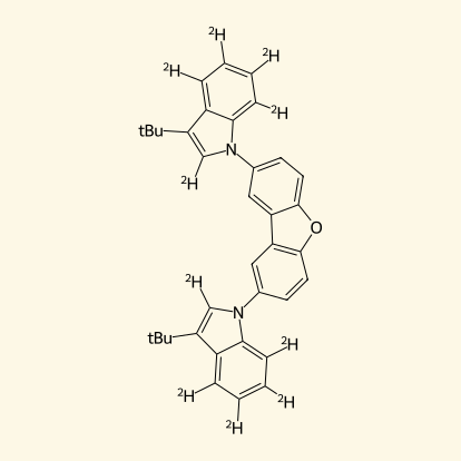 [2H]c1c([2H])c([2H])c2c(c1[2H])c(C(C)(C)C)c([2H])n2-c1ccc2oc3ccc(-n4c([2H])c(C(C)(C)C)c5c([2H])c([2H])c([2H])c([2H])c54)cc3c2c1